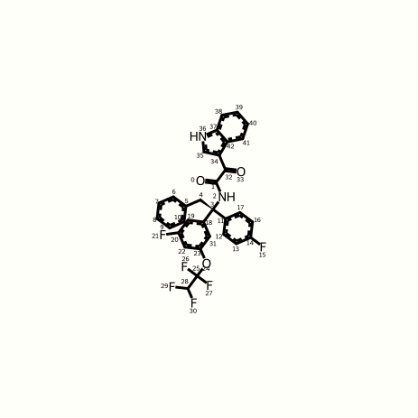 O=C(N[C@](Cc1ccccc1)(c1ccc(F)cc1)c1cc(F)cc(OC(F)(F)C(F)F)c1)C(=O)c1c[nH]c2ccccc12